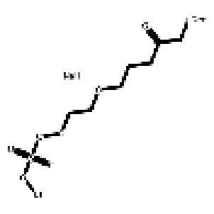 CCCCCCCCCCCC(=O)CCCOCCOOS(=O)(=O)OCC.[NaH]